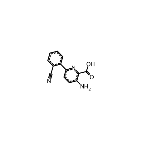 N#Cc1ccccc1-c1ccc(N)c(C(=O)O)n1